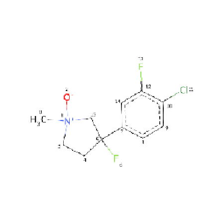 C[N+]1([O-])CCC(F)(c2ccc(Cl)c(F)c2)C1